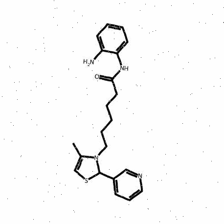 CC1=CSC(c2cccnc2)N1CCCCCC(=O)Nc1ccccc1N